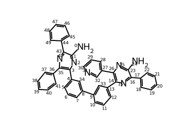 Nc1nc(-c2cccc(-c3cccc(-c4nc(-c5ccccc5)c(N)nc4-c4cccnc4)c3)c2)c(-c2ccccc2)nc1-c1ccccc1